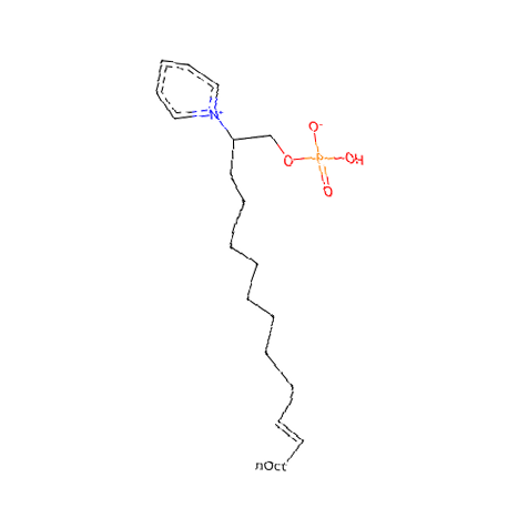 CCCCCCCCC=CCCCCCCCCC(COP(=O)([O-])O)[n+]1ccccc1